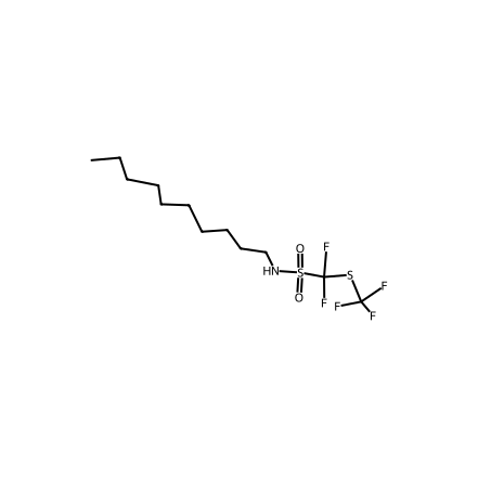 CCCCCCCCCCNS(=O)(=O)C(F)(F)SC(F)(F)F